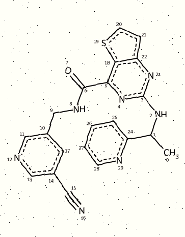 CC(Nc1nc(C(=O)NCc2cncc(C#N)c2)c2sccc2n1)c1ccccn1